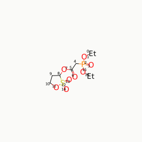 CCOP(=O)(CC(=O)OC1CCOS1(=O)=O)OCC